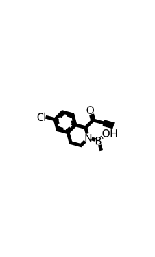 C#CC(=O)C1c2ccc(Cl)cc2CCN1B(C)O